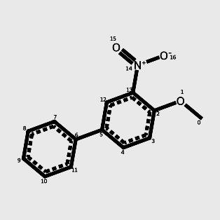 COc1ccc(-c2ccccc2)cc1[N+](=O)[O-]